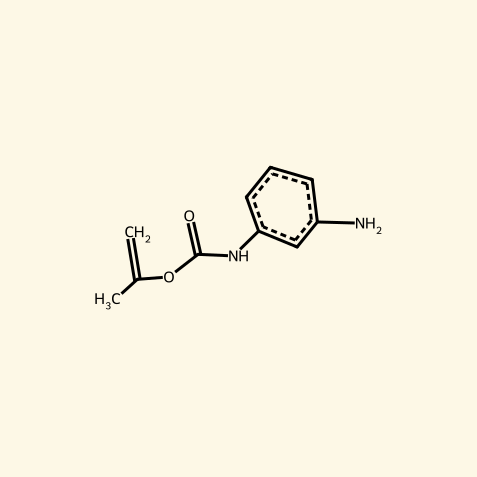 C=C(C)OC(=O)Nc1cccc(N)c1